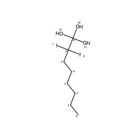 CCCCCCC(I)(I)C(O)(O)O